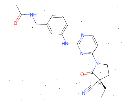 CC[C@]1(C#N)CCN(c2ccnc(Nc3cccc(CNC(C)=O)c3)n2)C1=O